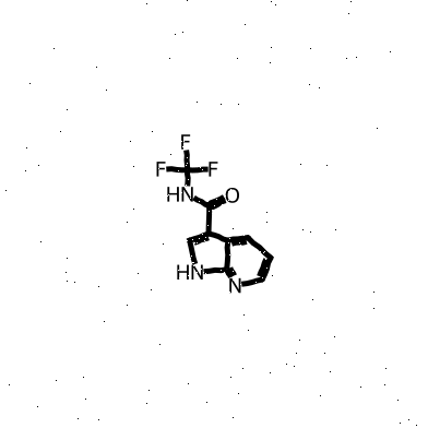 O=C(NC(F)(F)F)c1c[nH]c2ncccc12